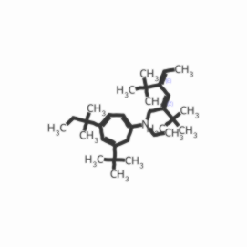 C/C=C(\C=C(/CN(CC)C1=CC=C(C(C)(C)CC)C=C(C(C)(C)C)C1)C(C)(C)C)C(C)(C)C